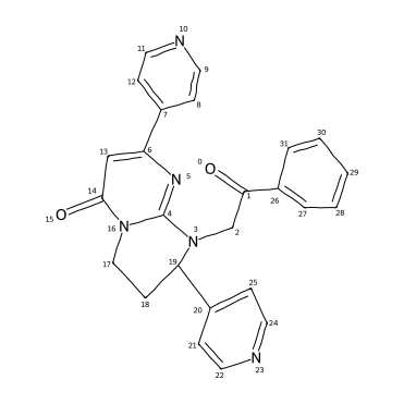 O=C(CN1c2nc(-c3ccncc3)cc(=O)n2CCC1c1ccncc1)c1ccccc1